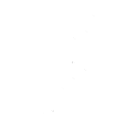 C=CC(=O)Nc1ccnc(-c2c(Cl)ccc3cnc(Nc4ccc(N5CCN(C)CC5)nc4OC)nc23)c1